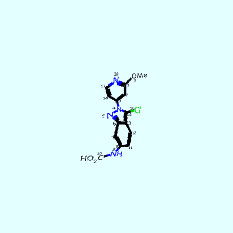 COc1cc(-n2nc3cc(NC(=O)O)ccc3c2Cl)ccn1